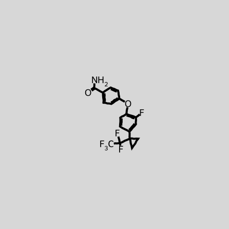 NC(=O)c1ccc(Oc2ccc(C3(C(F)(F)C(F)(F)F)CC3)cc2F)cc1